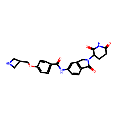 O=C1CCC(N2Cc3cc(NC(=O)c4ccc(OCC5CNC5)cc4)ccc3C2=O)C(=O)N1